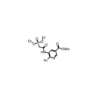 CCOP(=O)(CC(=O)Nc1cc(C(=O)OC)cnc1C(C)=O)OCC